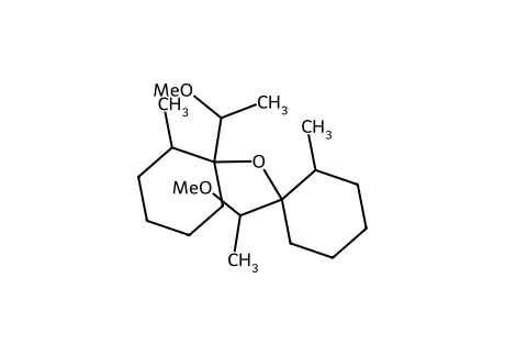 COC(C)C1(OC2(C(C)OC)CCCCC2C)CCCCC1C